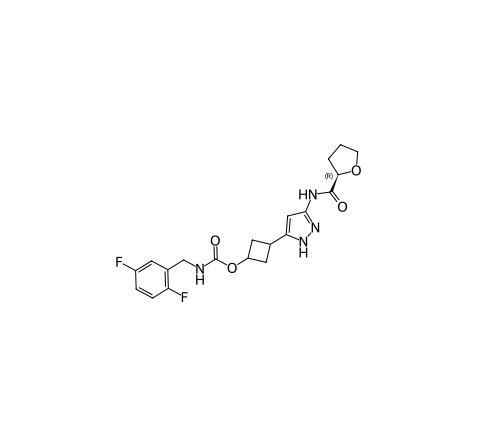 O=C(NCc1cc(F)ccc1F)OC1CC(c2cc(NC(=O)[C@H]3CCCO3)n[nH]2)C1